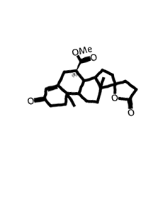 COC(=O)[C@@H]1CC2=CC(=O)CCC2(C)C2CCC3(C)C(CCC34CCC(=O)O4)C21